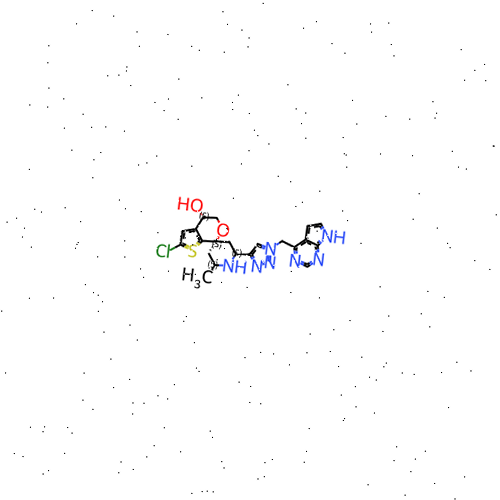 C[C@H]1C[C@@]2(C[C@@H](c3cn(Cc4ncnc5[nH]ccc45)nn3)N1)OC[C@@H](O)c1cc(Cl)sc12